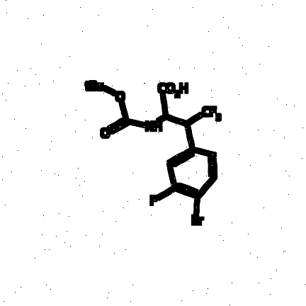 CC(C)(C)OC(=O)NC(C(=O)O)C(c1ccc(Br)c(F)c1)C(F)(F)F